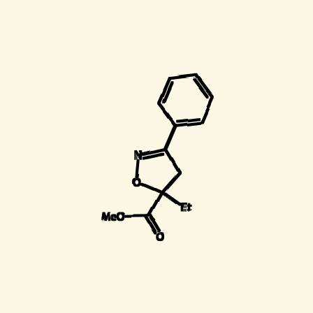 CCC1(C(=O)OC)CC(c2ccccc2)=NO1